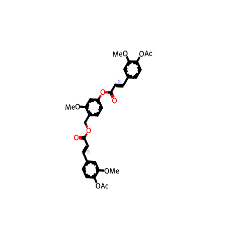 COc1cc(OC(=O)/C=C/c2ccc(OC(C)=O)c(OC)c2)ccc1COC(=O)/C=C/c1ccc(OC(C)=O)c(OC)c1